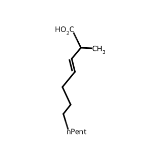 CCCCCCCCC=CC(C)C(=O)O